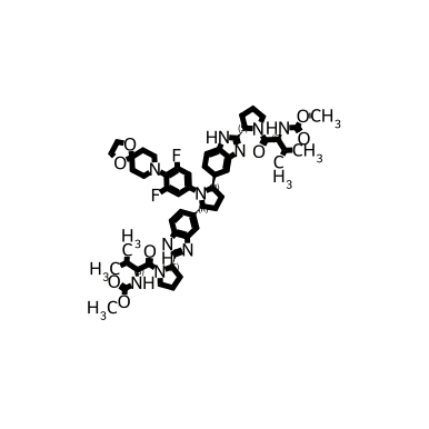 COC(=O)N[C@H](C(=O)N1CCC[C@H]1c1nc2c([nH]1)=CCC([C@H]1CC[C@H](c3ccc4[nH]c([C@@H]5CCCN5C(=O)[C@@H](NC(=O)OC)C(C)C)nc4c3)N1c1cc(F)c(N3CCC4(CC3)OCCO4)c(F)c1)C=2)C(C)C